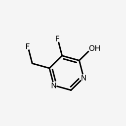 Oc1ncnc(CF)c1F